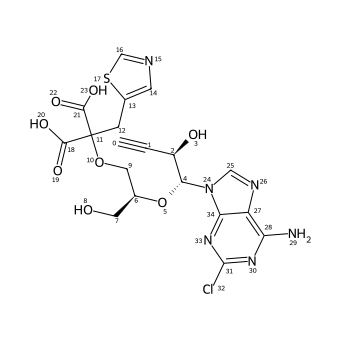 C#C[C@@H](O)[C@@H](O[C@@H](CO)COC(Cc1cncs1)(C(=O)O)C(=O)O)n1cnc2c(N)nc(Cl)nc21